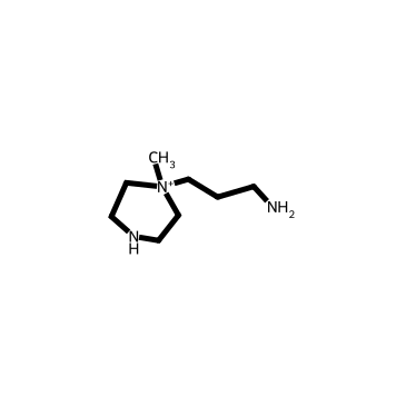 C[N+]1(CCCN)CCNCC1